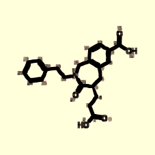 O=C(O)CC[C@@H]1Cc2cc(C(=O)O)ccc2CN(CCc2ccccc2)C1=O